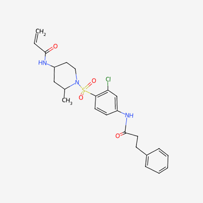 C=CC(=O)NC1CCN(S(=O)(=O)c2ccc(NC(=O)CCc3ccccc3)cc2Cl)C(C)C1